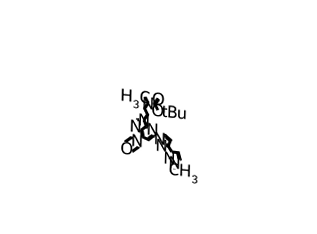 CN(CCn1cnc2c(N3CCOCC3)cc(-n3ccc(-c4ccn(C)n4)n3)nc21)C(=O)OC(C)(C)C